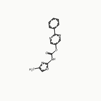 Cc1coc(NC(=O)Oc2cnc(-c3ccccc3)nc2)n1